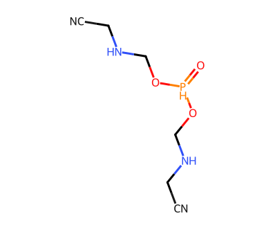 N#CCNCO[PH](=O)OCNCC#N